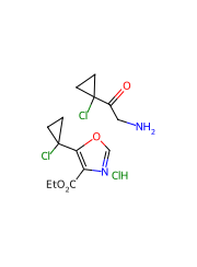 CCOC(=O)c1ncoc1C1(Cl)CC1.Cl.NCC(=O)C1(Cl)CC1